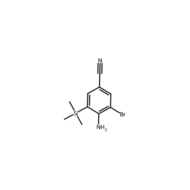 C[Si](C)(C)c1cc(C#N)cc(Br)c1N